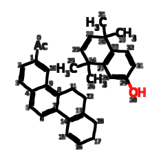 CC(=O)c1ccc2ccc3c(c2c1)CCC1=C3C=CCC1.CC1(C)C=CC(C)(C)c2cc(O)ccc21